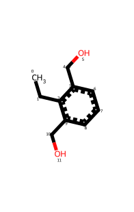 CCc1c([CH]O)cccc1CO